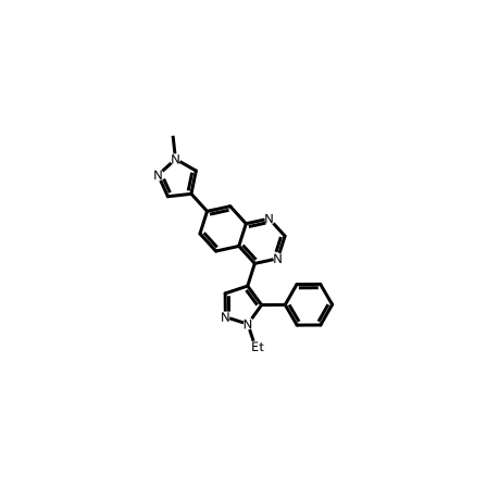 CCn1ncc(-c2ncnc3cc(-c4cnn(C)c4)ccc23)c1-c1ccccc1